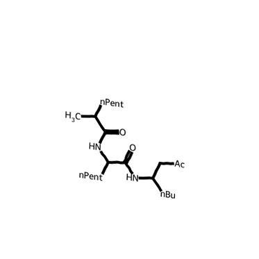 CCCCCC(C)C(=O)NC(CCCCC)C(=O)NC(CCCC)CC(C)=O